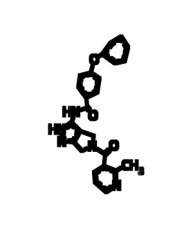 Cc1ncccc1C(=O)N1Cc2n[nH]c(NC(=O)c3ccc(Oc4ccccc4)cc3)c2C1